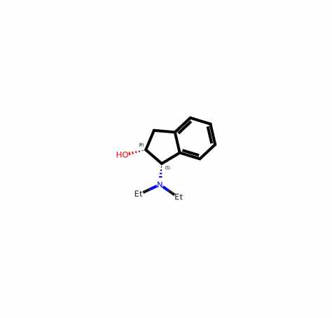 CCN(CC)[C@H]1c2ccccc2C[C@H]1O